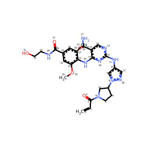 C=CC(=O)N1CCC(n2cc(Nc3ncc(C(N)=O)c(Nc4c(C)cc(C(=O)NCCO)cc4OC)n3)cn2)C1